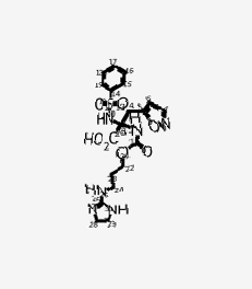 O=C(NC(Cc1ccno1)(NS(=O)(=O)c1ccccc1)C(=O)O)OCCCNC1=NCCN1